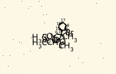 COC(=O)C(C)(CC(=O)OC(C)(C)C)c1ccccc1Br